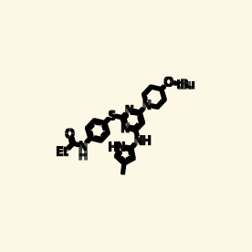 CCC(=O)Nc1ccc(Sc2nc(Nc3cc(C)c[nH]3)cc(N3CCC(OC(C)(C)C)CC3)n2)cc1